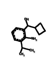 CC(C)c1cccc(C(O)C2CCC2)c1N